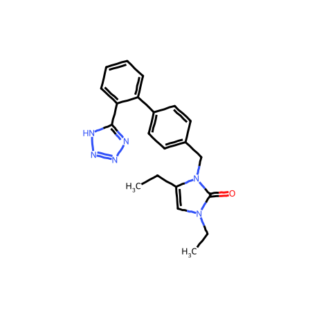 CCc1cn(CC)c(=O)n1Cc1ccc(-c2ccccc2-c2nnn[nH]2)cc1